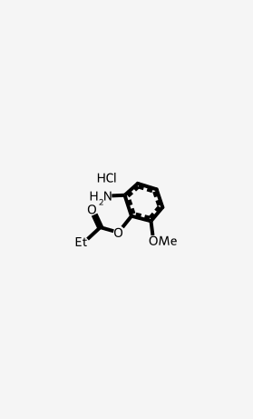 CCC(=O)Oc1c(N)cccc1OC.Cl